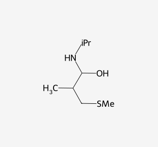 CSCC(C)C(O)NC(C)C